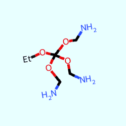 CCOC(OCN)(OCN)OCN